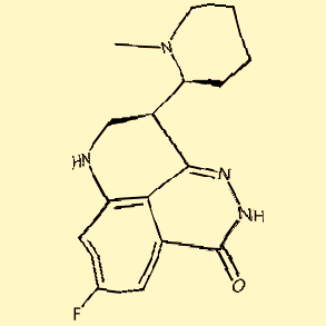 CN1CCCC[C@H]1[C@@H]1CNc2cc(F)cc3c(=O)[nH]nc1c23